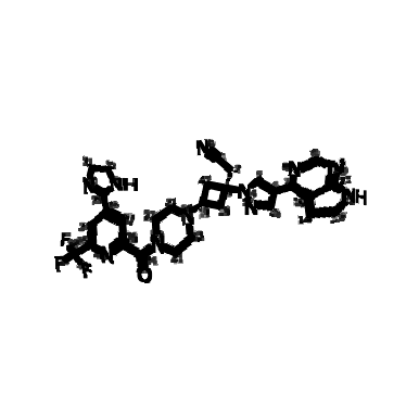 N#CC[C@]1(n2cc(-c3ncnc4[nH]ccc34)cn2)C[C@@H](N2CCN(C(=O)c3cc(C4=NCCN4)cc(C(F)(F)F)n3)CC2)C1